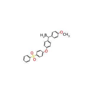 BC(c1ccc(OC)cc1)c1ccc(Oc2ccc(S(=O)(=O)c3ccccc3)cc2)cc1